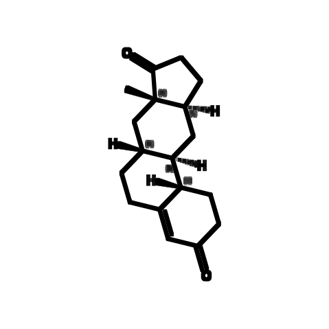 C[C@]12C[C@H]3CCC4=CC(=O)CC[C@H]4[C@@H]3C[C@@H]1CCC2=O